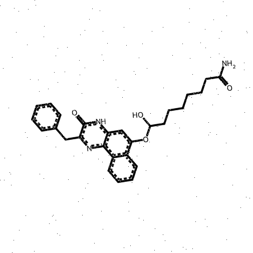 NC(=O)CCCCCCC(O)Oc1cc2[nH]c(=O)c(Cc3ccccc3)nc2c2ccccc12